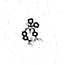 CN(C)c1ccc(CN2C(=O)N(Cc3ccc4ccc(C(=N)N)cc4c3)C(=O)C2(c2ccccc2)c2ccccc2)cc1